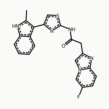 Cc1[nH]c2ccccc2c1-c1csc(NC(=O)Cc2cn3cc(F)ccc3n2)n1